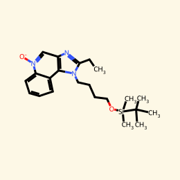 CCc1nc2c[n+]([O-])c3ccccc3c2n1CCCCO[Si](C)(C)C(C)(C)C